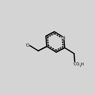 O=C(O)Cc1cc(CCl)ccn1